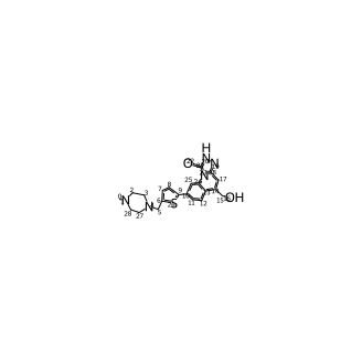 CN1CCN(Cc2ccc(-c3ccc4c(CO)cc5n[nH]c(=O)n5c4c3)s2)CC1